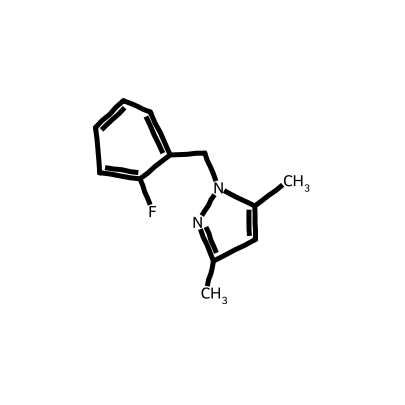 Cc1cc(C)n(Cc2ccccc2F)n1